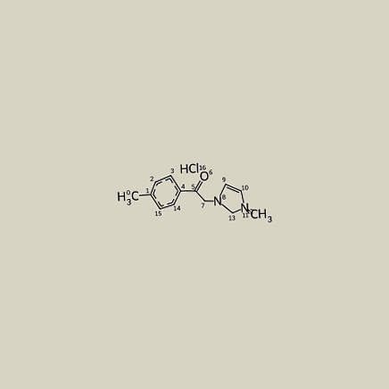 Cc1ccc(C(=O)CN2C=CN(C)C2)cc1.Cl